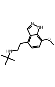 COc1ccc(CCNC(C)(C)C)c2cn[nH]c12